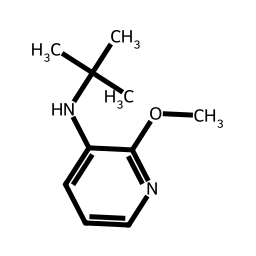 COc1ncccc1NC(C)(C)C